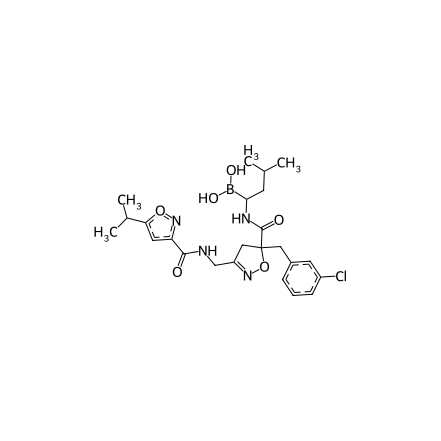 CC(C)CC(NC(=O)C1(Cc2cccc(Cl)c2)CC(CNC(=O)c2cc(C(C)C)on2)=NO1)B(O)O